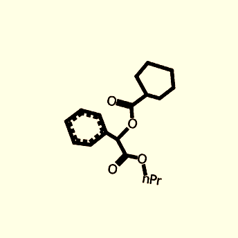 CCCOC(=O)C(OC(=O)C1CCCCC1)c1ccccc1